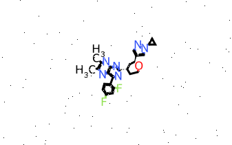 Cc1nc2nc([C@H]3CCO[C@H](c4cnn(C5CC5)c4)C3)nc(-c3ccc(F)cc3F)c2nc1C